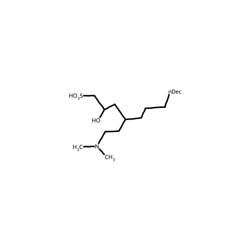 CCCCCCCCCCCCCC(CCN(C)C)CC(O)CS(=O)(=O)O